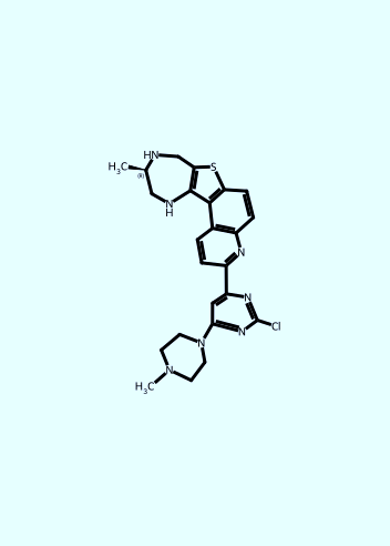 C[C@@H]1CNc2c(sc3ccc4nc(-c5cc(N6CCN(C)CC6)nc(Cl)n5)ccc4c23)CN1